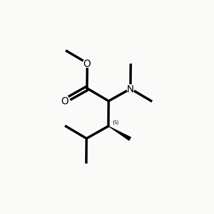 COC(=O)C([C@@H](C)C(C)C)N(C)C